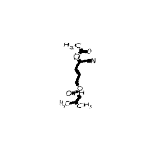 CC(=O)OC(C#N)CCCO[PH](=O)CC(C)C